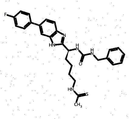 CC(=S)NCCCC[C@H](NC(=O)NCc1ccccc1)c1nc2ccc(-c3ccc(F)cc3)cc2[nH]1